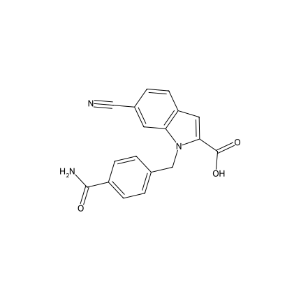 N#Cc1ccc2cc(C(=O)O)n(Cc3ccc(C(N)=O)cc3)c2c1